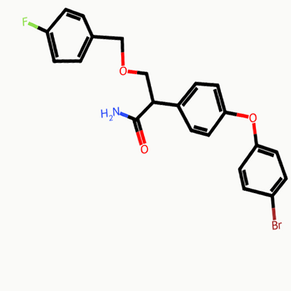 NC(=O)C(COCc1ccc(F)cc1)c1ccc(Oc2ccc(Br)cc2)cc1